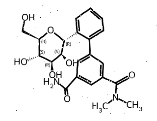 CN(C)C(=O)c1cc(C(N)=O)cc(-c2ccccc2[C@H]2O[C@H](CO)[C@@H](O)[C@H](O)[C@@H]2O)c1